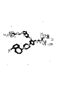 CC(C)(C)OCOCc1ccc(N2CCN(C3CCCCc4c(Br)cccc43)CC2)cc1Oc1cnc2c(ccn2COCC[Si](C)(C)C)c1